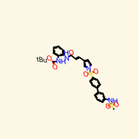 CC(C)(C)OC(=O)Nc1ccccc1NC(=O)C=Cc1ccn(S(=O)(=O)c2ccc(-c3cccc(NS(C)(=O)=O)c3)cc2)c1